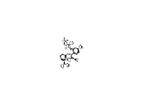 COC(=O)c1cccc(CC(C(=O)C2CC2)c2ccc(OC)cc2NC(=O)OC(C)(C)C)n1